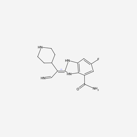 N=C/C(=C1/Nc2cc(F)cc(C(N)=O)c2N1)C1CCNCC1